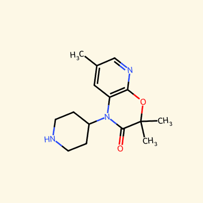 Cc1cnc2c(c1)N(C1CCNCC1)C(=O)C(C)(C)O2